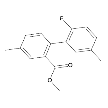 COC(=O)c1cc(C)ccc1-c1cc(C)ccc1F